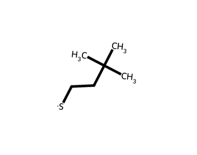 CC(C)(C)CC[S]